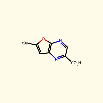 CC(C)(C)c1cc2nc(C(=O)O)cnc2o1